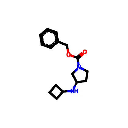 O=C(OCc1ccccc1)N1CC[C@@H](NC2CCC2)C1